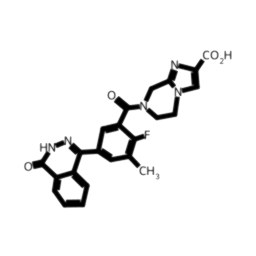 Cc1cc(-c2n[nH]c(=O)c3ccccc23)cc(C(=O)N2CCn3cc(C(=O)O)nc3C2)c1F